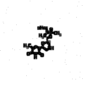 CCCCCCN(C)P(C)(=O)OC[C@@H]1CNCC(n2cc(C)c(=O)[nH]c2=O)O1